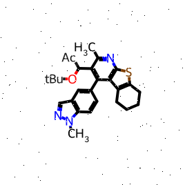 CC(=O)C(OC(C)(C)C)c1c(C)nc2sc3c(c2c1-c1ccc2c(cnn2C)c1)CCCC3